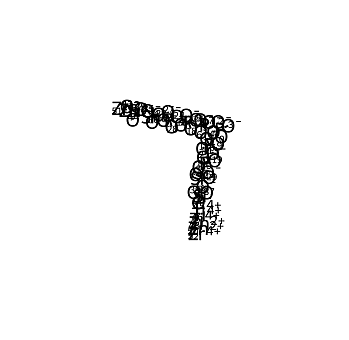 O=P([O-])([O-])OP(=O)([O-])[O-].O=P([O-])([O-])[O-].O=P([O-])([O-])[O-].O=P([O-])([O-])[O-].O=P([O-])([O-])[O-].O=[Si]([O-])[O-].O=[Si]([O-])[O-].O=[Si]([O-])[O-].O=[Si]([O-])[O-].[Ti+4].[Ti+4].[Ti+4].[Zn+2].[Zn+2].[Zn+2].[Zn+2].[Zr+4]